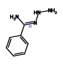 NN/N=C(\N)c1ccccc1